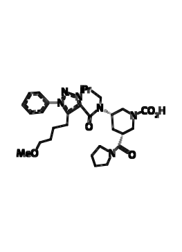 COCCCCc1c(C(=O)N(CC(C)C)[C@H]2C[C@@H](C(=O)N3CCCC3)CN(C(=O)O)C2)nnn1-c1ccccc1